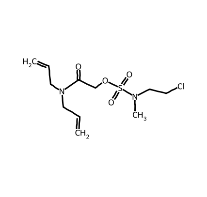 C=CCN(CC=C)C(=O)COS(=O)(=O)N(C)CCCl